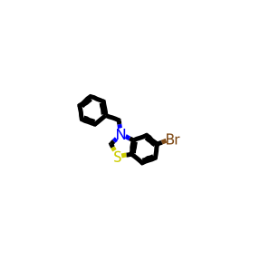 Brc1ccc2c(c1)N(Cc1ccccc1)CS2